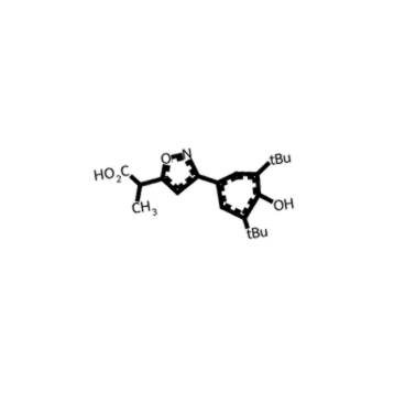 CC(C(=O)O)c1cc(-c2cc(C(C)(C)C)c(O)c(C(C)(C)C)c2)no1